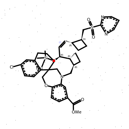 COC(=O)c1ccc2c(c1)N(C[C@@H]1CC[C@H]1[C@H](/C=C\[C@H]1CC[C@@H]1CS(=O)(=O)c1ncccn1)O[Si](C)(C)C(C)(C)C)CC1(CCCc3cc(Cl)ccc31)CO2